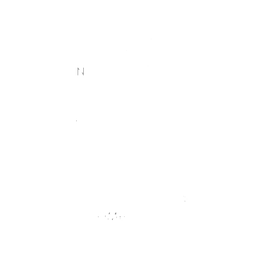 COc1cccc(C2(c3ccc(-c4cccs4)cc3)CCCN(CC3CC3)C2)c1